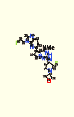 CNc1nc(N[C@H]2CCN(C3COC3)C[C@H]2F)nn2ccc(-c3ccc4ncn(CCF)c4n3)c12